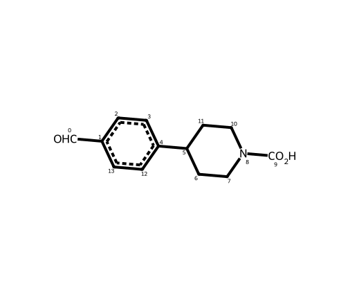 O=Cc1ccc(C2CCN(C(=O)O)CC2)cc1